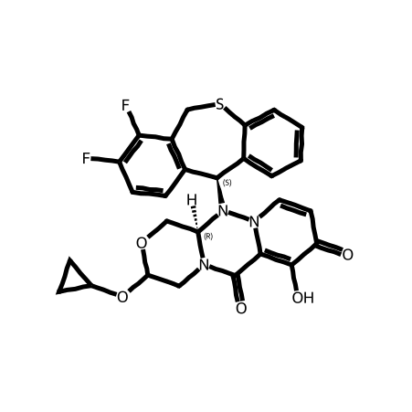 O=C1c2c(O)c(=O)ccn2N([C@@H]2c3ccccc3SCc3c2ccc(F)c3F)[C@@H]2COC(OC3CC3)CN12